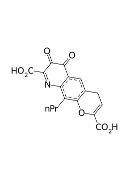 CCCc1c2c(cc3c1OC(C(=O)O)=CC3)C(=O)C(=O)C(C(=O)O)=N2